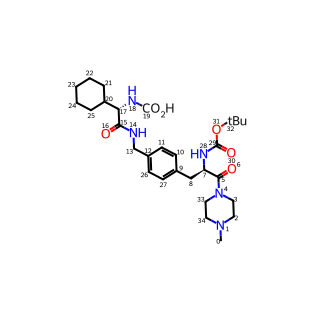 CN1CCN(C(=O)[C@@H](Cc2ccc(CNC(=O)[C@@H](NC(=O)O)C3CCCCC3)cc2)NC(=O)OC(C)(C)C)CC1